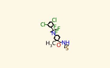 Cc1cc(N2CC2(c2cc(Cl)cc(Cl)c2)C(F)(F)F)ccc1C(=O)NC1CSC1